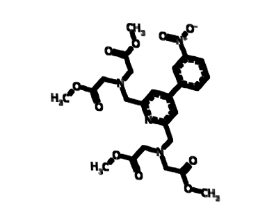 COC(=O)CN(CC(=O)OC)Cc1cc(-c2cccc([N+](=O)[O-])c2)cc(CN(CC(=O)OC)CC(=O)OC)n1